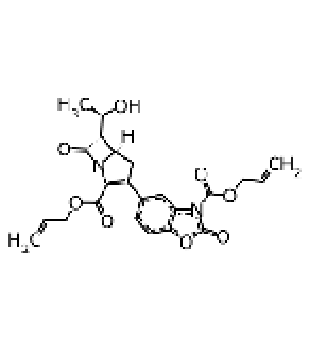 C=CCOC(=O)C1=C(c2ccc3oc(=O)n(C(=O)OCC=C)c3c2)C[C@@H]2[C@@H]([C@@H](C)O)C(=O)N12